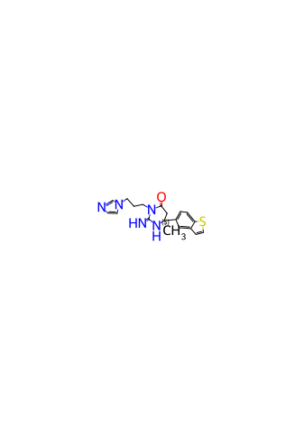 C[C@@]1(c2ccc3sccc3c2)CC(=O)N(CCCn2ccnc2)C(=N)N1